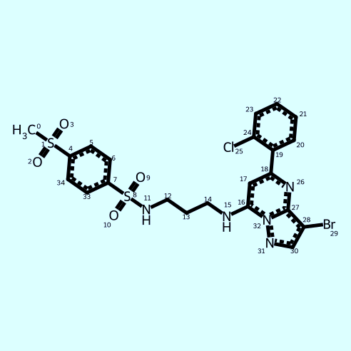 CS(=O)(=O)c1ccc(S(=O)(=O)NCCCNc2cc(-c3ccccc3Cl)nc3c(Br)cnn23)cc1